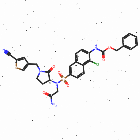 N#Cc1cc(CN2CC[C@H](N(CC(N)=O)S(=O)(=O)c3ccc4c(Cl)c(NC(=O)OCc5ccccc5)ccc4c3)C2=O)cs1